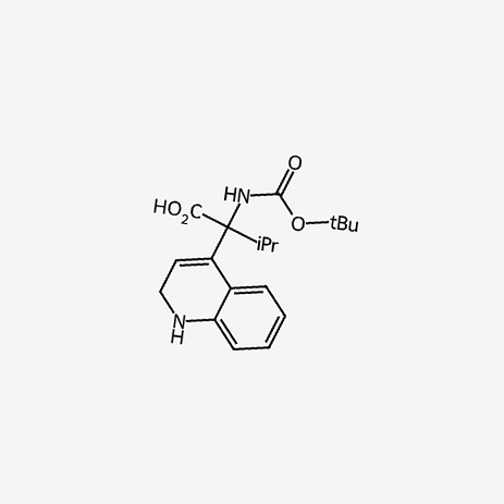 CC(C)C(NC(=O)OC(C)(C)C)(C(=O)O)C1=CCNc2ccccc21